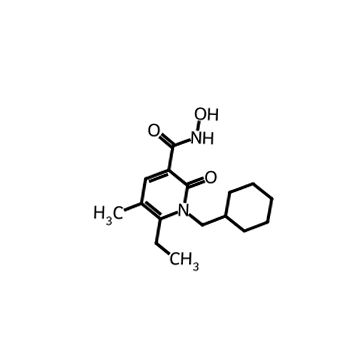 CCc1c(C)cc(C(=O)NO)c(=O)n1CC1CCCCC1